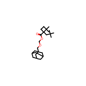 CC(C)(C)CC1(C(=O)OCOCC23CC4CC(CC(C4)C2)C3)CCC1(C)C